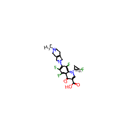 CN1CCC2=C(C1)CN(c1c(F)c(F)c3c(=O)c(C(=O)O)cn([C@@H]4C[C@H]4F)c3c1F)C2